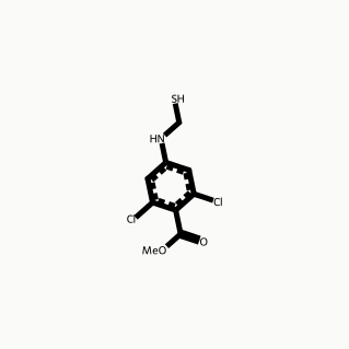 COC(=O)c1c(Cl)cc(NCS)cc1Cl